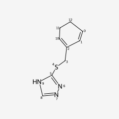 C1=CC(CSc2nnc[nH]2)=CCC1